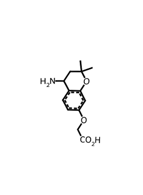 CC1(C)CC(N)c2ccc(OCC(=O)O)cc2O1